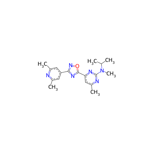 Cc1cc(-c2noc(-c3cc(C)nc(N(C)C(C)C)n3)n2)cc(C)n1